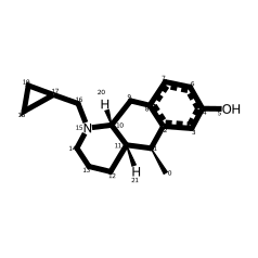 C[C@@H]1c2cc(O)ccc2C[C@@H]2[C@H]1CCCN2CC1CC1